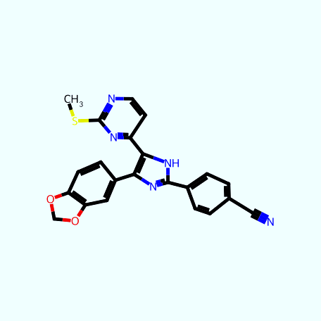 CSc1nccc(-c2[nH]c(-c3ccc(C#N)cc3)nc2-c2ccc3c(c2)OCO3)n1